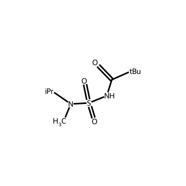 CC(C)N(C)S(=O)(=O)NC(=O)C(C)(C)C